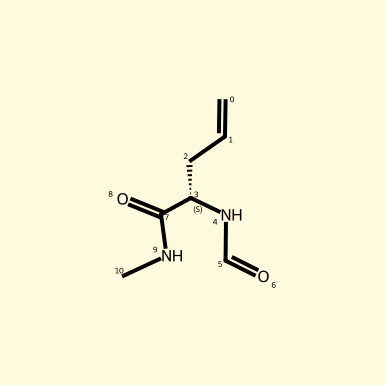 C=CC[C@H](NC=O)C(=O)NC